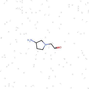 NC1CCN(C[C]=O)C1